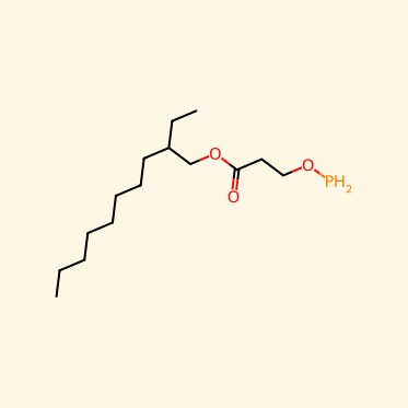 CCCCCCCCC(CC)COC(=O)CCOP